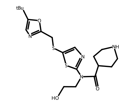 CC(C)(C)c1cnc(CSc2cnc(N(CCO)C(=O)C3CCNCC3)s2)o1